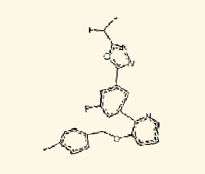 Cc1ccc(COc2cccnc2-c2cc(F)cc(-c3nnc(C(F)F)o3)c2)cc1